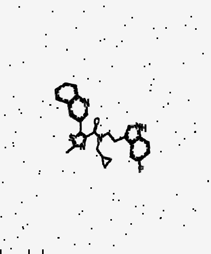 Cc1nc(C(=O)N(CCc2c[nH]c3ccc(F)cc23)CC2CC2)c(-c2cnc3ccccc3c2)s1